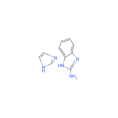 Nc1nc2ccccc2[nH]1.c1c[nH]cn1